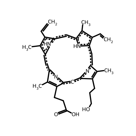 C=Cc1c(C)c2cc3[nH]c(cc4nc(cc5nc(cc1[nH]2)C(C)=C5CCCO)C(CCC(=O)O)=C4C)c(C)c3C=C